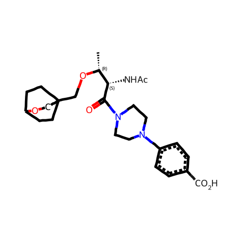 CC(=O)N[C@H](C(=O)N1CCN(c2ccc(C(=O)O)cc2)CC1)[C@@H](C)OCC12CCC(CC1)OC2